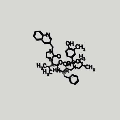 Cc1cc(S(=O)(=O)N(CC(C)C)C[C@@H](O)[C@H](Cc2ccccc2)NC(=O)[C@H](C(C)C)N2CCN(Cc3cnc4ccccc4c3)C2=O)ccc1O